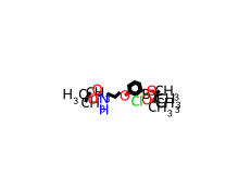 CC(C)(C)OC(=O)NCCCOc1cccc(B2OC(C)(C)C(C)(C)O2)c1Cl